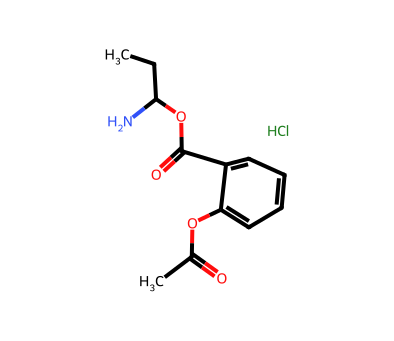 CCC(N)OC(=O)c1ccccc1OC(C)=O.Cl